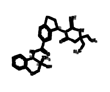 CCC1(CC)CC(=O)N([C@@H]2CCc3ccc(C(=O)N[C@@H]4c5ccccc5OC[C@@]4(C)O)cc32)C(=N)N1